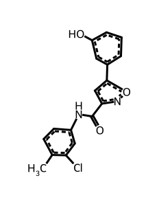 Cc1ccc(NC(=O)c2cc(-c3cccc(O)c3)on2)cc1Cl